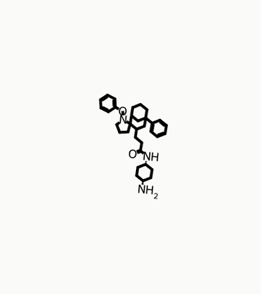 N[C@H]1CC[C@H](NC(=O)CCC2CC3(c4ccccc4)CCCC(C3)C23CCCN3Oc2ccccc2)CC1